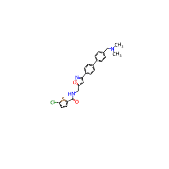 CN(C)Cc1ccc(-c2ccc(-c3cc(CNC(=O)c4ccc(Cl)s4)on3)cc2)cc1